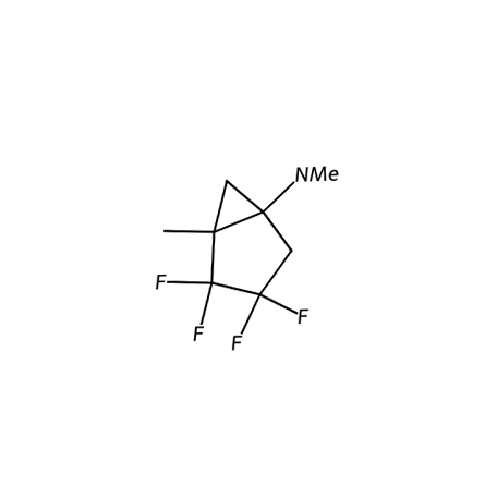 CNC12CC(F)(F)C(F)(F)C1(C)C2